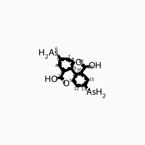 O=C(O)c1cc([AsH2])ccc1-c1ccc([AsH2])cc1C(=O)O